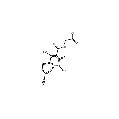 Cn1c(=O)c(C(=O)NCC(=O)O)c(O)c2ccc(C#N)cc21